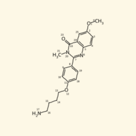 COc1ccc2nc(-c3ccc(OCCCCN)cc3)n(C)c(=O)c2c1